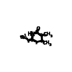 CC1CC(CC(C)(C)C)NC(=O)C1C